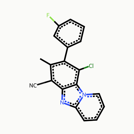 Cc1c(-c2cccc(F)c2)c(Cl)c2c(nc3ccccn32)c1C#N